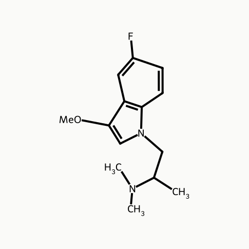 COc1cn(CC(C)N(C)C)c2ccc(F)cc12